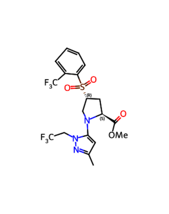 COC(=O)[C@@H]1C[C@@H](S(=O)(=O)c2ccccc2C(F)(F)F)CN1c1cc(C)nn1CC(F)(F)F